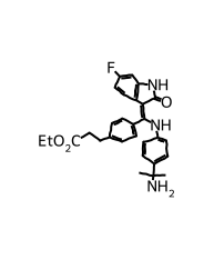 CCOC(=O)CCc1ccc(/C(Nc2ccc(C(C)(C)N)cc2)=C2/C(=O)Nc3cc(F)ccc32)cc1